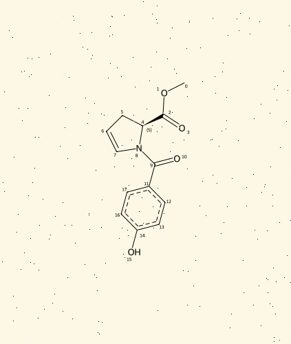 COC(=O)[C@@H]1CC=CN1C(=O)c1ccc(O)cc1